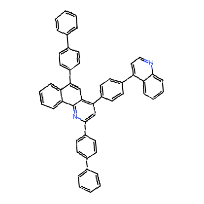 c1ccc(-c2ccc(-c3cc(-c4ccc(-c5ccnc6ccccc56)cc4)c4cc(-c5ccc(-c6ccccc6)cc5)c5ccccc5c4n3)cc2)cc1